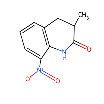 CC1Cc2cccc([N+](=O)[O-])c2NC1=O